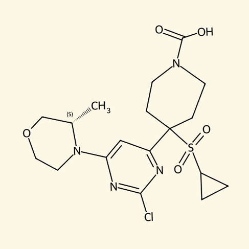 C[C@H]1COCCN1c1cc(C2(S(=O)(=O)C3CC3)CCN(C(=O)O)CC2)nc(Cl)n1